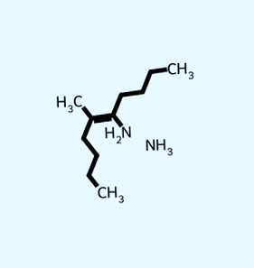 CCCCC(C)=C(N)CCCC.N